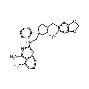 Cc1cc2c(cc1CN1CCC(CNc3nc(N)c4c(C)cccc4n3)(c3ccccc3)CC1)OCO2